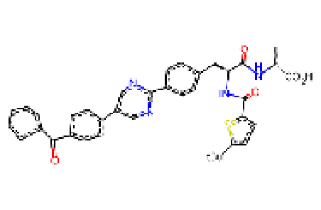 C[C@@H](NC(=O)[C@H](Cc1ccc(-c2ncc(-c3ccc(C(=O)c4ccccc4)cc3)cn2)cc1)NC(=O)c1ccc(C(C)(C)C)s1)C(=O)O